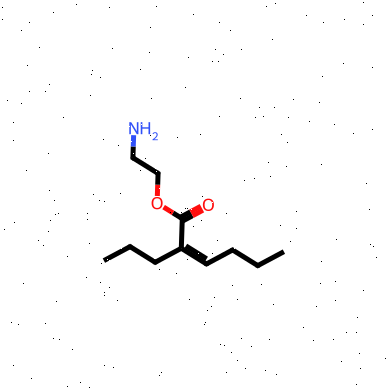 CCCC=C(CCC)C(=O)OCCN